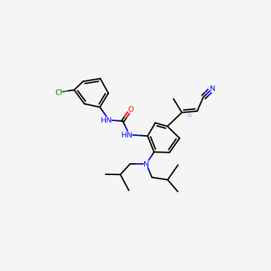 C/C(=C\C#N)c1ccc(N(CC(C)C)CC(C)C)c(NC(=O)Nc2cccc(Cl)c2)c1